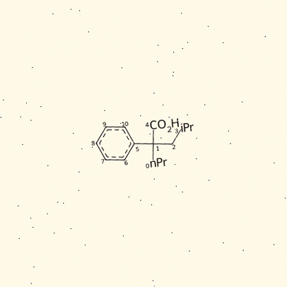 CCCC(CC(C)C)(C(=O)O)c1ccccc1